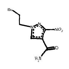 CCC(C)CCn1cc(C(N)=O)c([N+](=O)[O-])n1